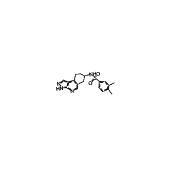 Cc1ccc(S(=O)(=O)NC2CCc3c(cnc4[nH]ncc34)C2)cc1C